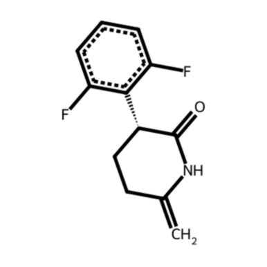 C=C1CC[C@H](c2c(F)cccc2F)C(=O)N1